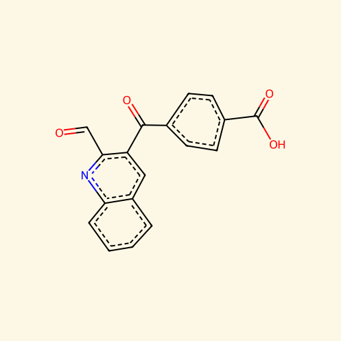 O=Cc1nc2ccccc2cc1C(=O)c1ccc(C(=O)O)cc1